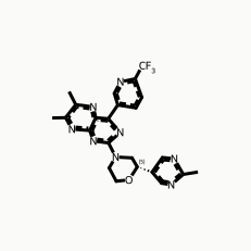 Cc1ncc([C@H]2CN(c3nc(-c4ccc(C(F)(F)F)nc4)c4nc(C)c(C)nc4n3)CCO2)cn1